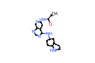 C#CC(=O)Nc1cc2c(Nc3ccc4[nH]ccc4c3)ncnc2cn1